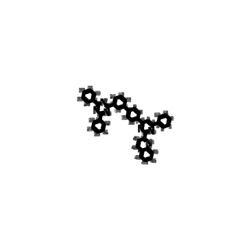 c1ccc(-c2cc(-c3ccc(-c4cccc(-c5nc(-c6ccccc6)nc(-c6ccccc6)n5)c4)cc3)nc(-c3ccc4ccccc4n3)n2)cc1